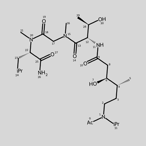 CC(=O)N(CC[C@@H](C)[C@@H](O)CC(=O)N[C@H](C(=O)N(C)CC(=O)N(C)[C@@H](CC(C)C)C(N)=O)[C@@H](C)O)C(C)C